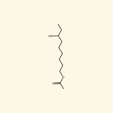 CCC(O)CCCCCCOC(C)=O